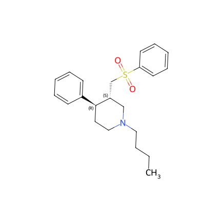 CCCCN1CC[C@@H](c2ccccc2)[C@H](CS(=O)(=O)c2ccccc2)C1